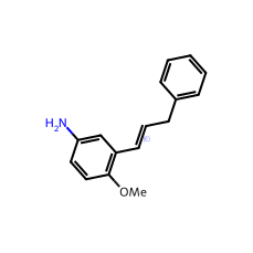 COc1ccc(N)cc1/C=C/Cc1ccccc1